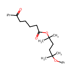 CC(C)OC(C)(C)CCC(C)(C)OC(=O)CCCCC(=O)C(C)C